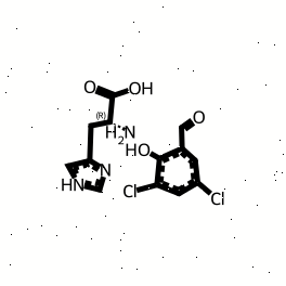 N[C@H](Cc1c[nH]cn1)C(=O)O.O=Cc1cc(Cl)cc(Cl)c1O